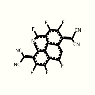 N#CC(C#N)=c1c(F)c(F)c2c(F)nc3c(=C(C#N)C#N)c(F)c(F)c4c(F)cc1c2c43